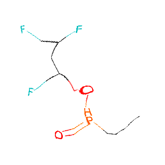 CC[PH](=O)OC(F)C(F)F